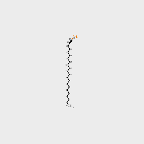 CCCCCCCCCCCCCCCCCCCCC#CP